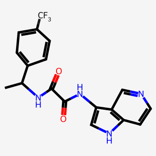 CC(NC(=O)C(=O)Nc1c[nH]c2ccncc12)c1ccc(C(F)(F)F)cc1